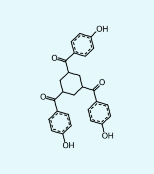 O=C(c1ccc(O)cc1)C1CC(C(=O)c2ccc(O)cc2)CC(C(=O)c2ccc(O)cc2)C1